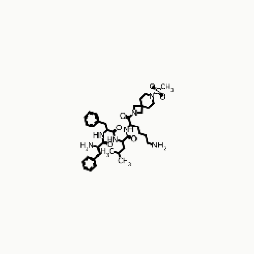 CC(C)CC(NC(=O)C(Cc1ccccc1)NC(=O)C(N)Cc1ccccc1)C(=O)NC(CCCCN)C(=O)N1CC2(CCN(S(C)(=O)=O)CC2)C1